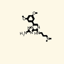 COc1cc(OC)cc(-c2cnc(NCCCN(C)C)c3nc(N)nn23)c1